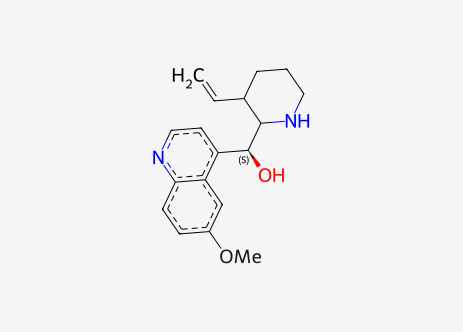 C=CC1CCCNC1[C@@H](O)c1ccnc2ccc(OC)cc12